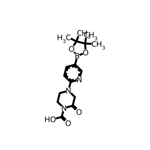 CC1(C)OB(c2ccc(N3CCN(C(=O)O)C(=O)C3)nc2)OC1(C)C